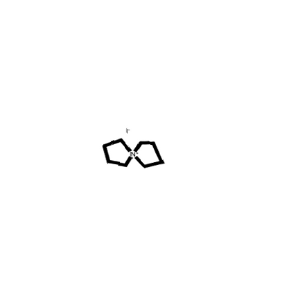 C1CC[N+]2(C1)CCCC2.[I-]